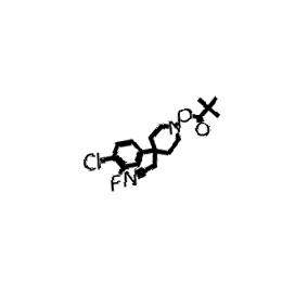 CC(C)(C)C(=O)ON1CCC(CC#N)(c2ccc(Cl)c(F)c2)CC1